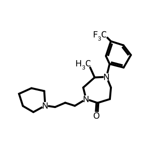 CC1CN(CCCN2CCCCC2)C(=O)CCN1c1cccc(C(F)(F)F)c1